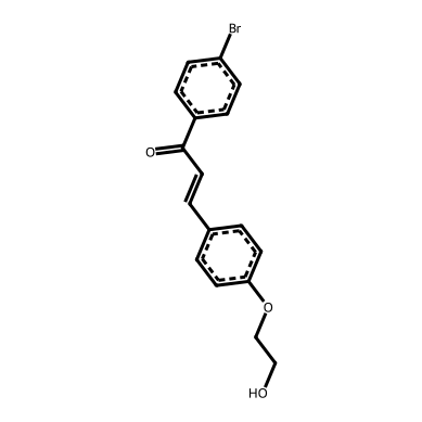 O=C(/C=C/c1ccc(OCCO)cc1)c1ccc(Br)cc1